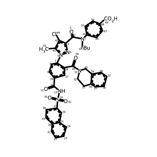 CCCCN(C(=O)c1nn(-c2ccc(C(=O)NS(=O)(=O)c3ccc4ccccc4c3)cc2C(=O)N2CCc3ccccc3C2)c(C)c1Cl)c1ccc(C(=O)O)cc1